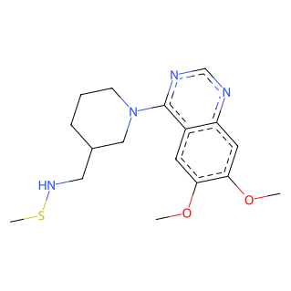 COc1cc2ncnc(N3CCCC(CNSC)C3)c2cc1OC